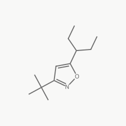 CCC(CC)c1cc(C(C)(C)C)no1